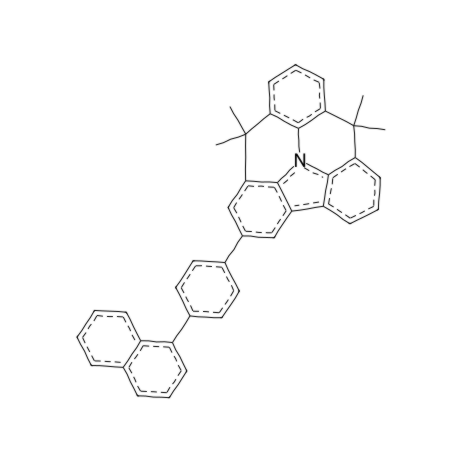 CC1(C)c2cccc3c2-n2c4c1cccc4c1cc(-c4ccc(-c5cccc6ccccc56)cc4)cc(c12)C3(C)C